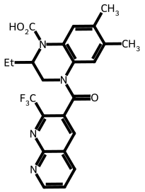 CCC1CN(C(=O)c2cc3cccnc3nc2C(F)(F)F)c2cc(C)c(C)cc2N1C(=O)O